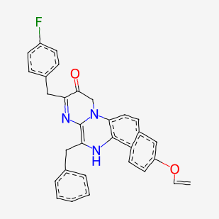 C=COc1ccc2c3c(ccc2c1)N1CC(=O)C(Cc2ccc(F)cc2)=NC1=C(Cc1ccccc1)N3